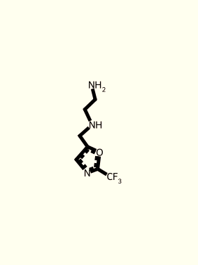 NCCNCc1cnc(C(F)(F)F)o1